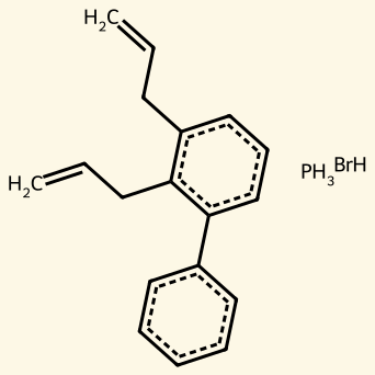 Br.C=CCc1cccc(-c2ccccc2)c1CC=C.P